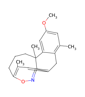 COc1cc(C)c2c(c1)C1(C)CCCC3=C(C)C=C(C2)C1=NO3